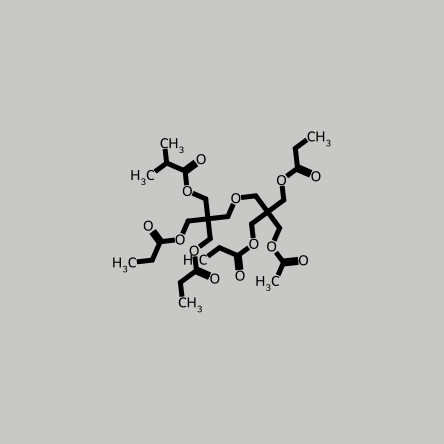 CCC(=O)OCC(COCC(COC(=O)CC)(COC(=O)CC)COC(=O)C(C)C)(COC(C)=O)COC(=O)CC